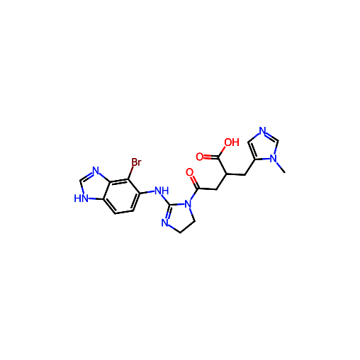 Cn1cncc1CC(CC(=O)N1CCN=C1Nc1ccc2[nH]cnc2c1Br)C(=O)O